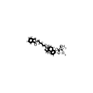 CN(C)C(=O)Oc1cccc2c1CC[C@@H]1[C@H]2CCN1CCCCCN1Cc2ccccc2C1=O